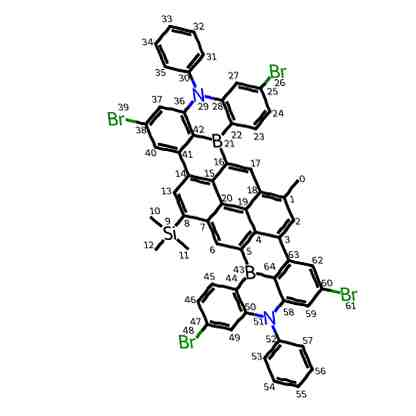 Cc1cc2c3c(cc4c([Si](C)(C)C)cc5c6c(cc1c3c46)B1c3ccc(Br)cc3N(c3ccccc3)c3cc(Br)cc-5c31)B1c3ccc(Br)cc3N(c3ccccc3)c3cc(Br)cc-2c31